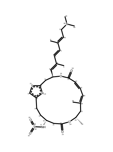 CC(/C=C/C(C)=C/[C@@H]1Cc2nc(cs2)CC[C@@H](N[SH](=O)=O)CC(=O)O[C@@H](C)C/C(C)=C/C=C\C(=O)O1)=C\CN(C)C